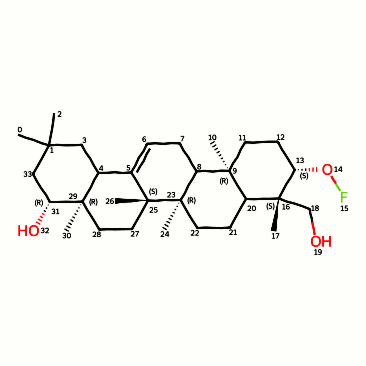 CC1(C)CC2C3=CCC4[C@@]5(C)CC[C@H](OF)[C@](C)(CO)C5CC[C@@]4(C)[C@]3(C)CC[C@@]2(C)[C@H](O)C1